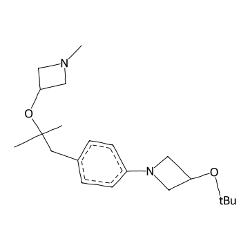 CN1CC(OC(C)(C)Cc2ccc(N3CC(OC(C)(C)C)C3)cc2)C1